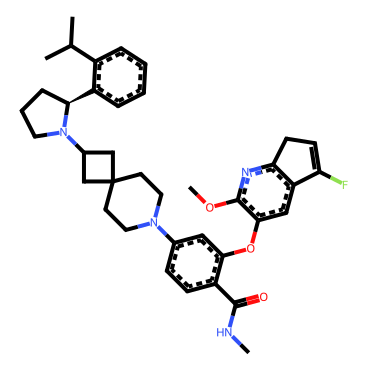 CNC(=O)c1ccc(N2CCC3(CC2)CC(N2CCC[C@H]2c2ccccc2C(C)C)C3)cc1Oc1cc2c(nc1OC)CC=C2F